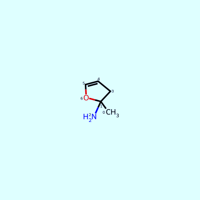 CC1(N)CC=CO1